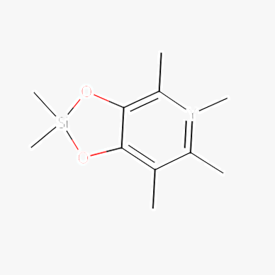 CC1=C2O[Si](C)(C)OC2=[C](C)[Y]([CH3])=[C]1C